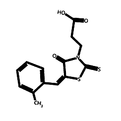 Cc1ccccc1/C=C1/SC(=S)N(CCC(=O)O)C1=O